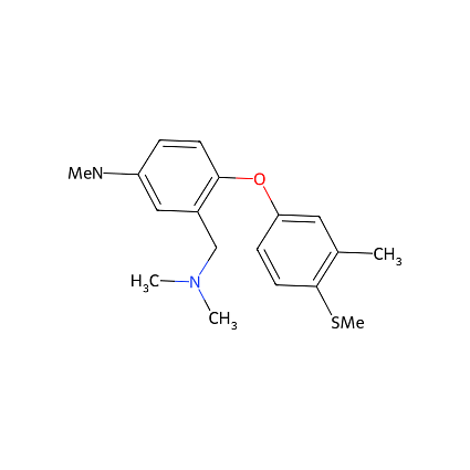 CNc1ccc(Oc2ccc(SC)c(C)c2)c(CN(C)C)c1